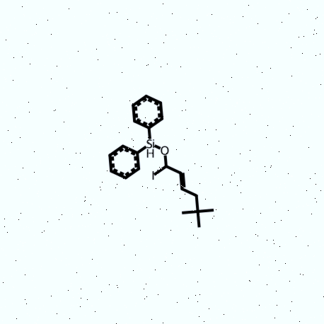 CC(C)(C)CC=CC(I)O[SiH](c1ccccc1)c1ccccc1